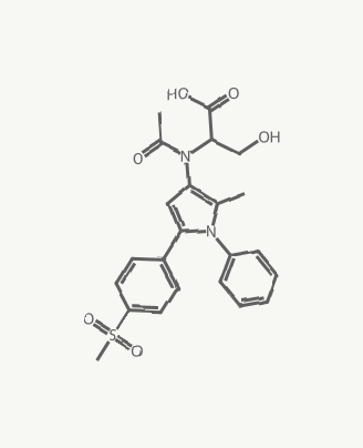 CC(=O)N(c1cc(-c2ccc(S(C)(=O)=O)cc2)n(-c2ccccc2)c1C)C(CO)C(=O)O